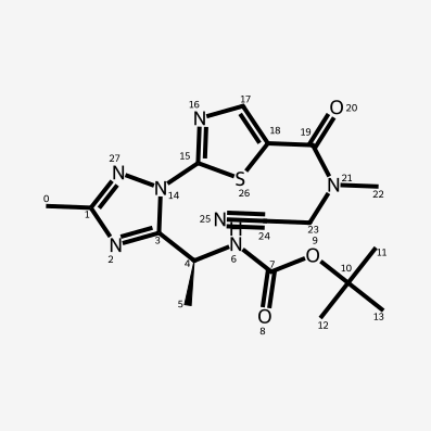 Cc1nc([C@H](C)NC(=O)OC(C)(C)C)n(-c2ncc(C(=O)N(C)CC#N)s2)n1